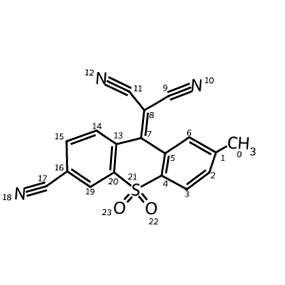 Cc1ccc2c(c1)C(=C(C#N)C#N)c1ccc(C#N)cc1S2(=O)=O